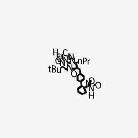 CCCc1c(Cc2ccc(-c3ccccc3-c3noc(=O)[nH]3)cc2)c(=O)n(CC(=NOCC)C(C)(C)C)c2nc(C)nn12